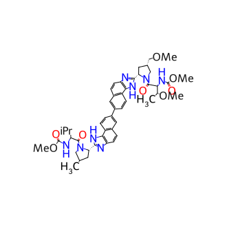 COC[C@H]1C[C@@H](c2nc3ccc4cc(-c5ccc6c(ccc7nc([C@@H]8C[C@H](C)CN8C(=O)C(NC(=O)OC)C(C)C)[nH]c76)c5)ccc4c3[nH]2)N(C(=O)[C@@H](NC(=O)OC)[C@@H](C)OC)C1